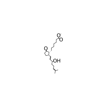 COC(=O)CCCCCC[C@H]1C(=O)CC[C@@H]1C=CC(O)CCC=C(C)C